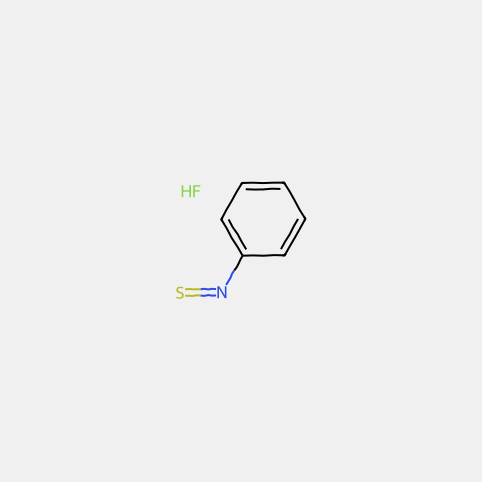 F.S=Nc1ccccc1